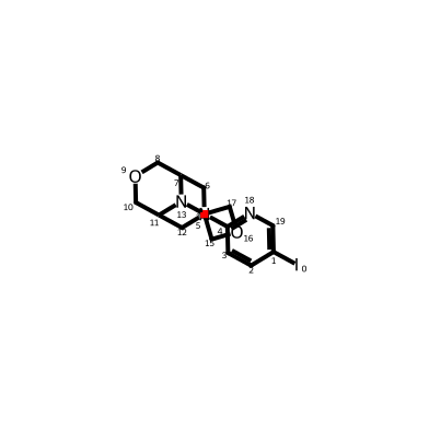 Ic1ccc(N2CC3COCC(C2)N3C2COC2)nc1